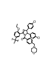 CCOc1ccc(C(F)(F)F)cc1C1=NC(c2ccc(Cl)cc2)C(c2ccc(Cl)cc2)N1C(=O)c1ccc(CN2CCOCC2)cc1